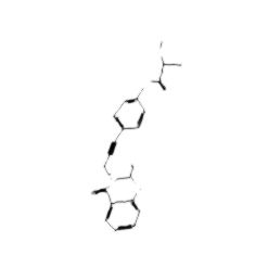 CCOC(C)C(=O)Oc1ccc(C#CCN2C(=O)c3ccccc3NC2C)cc1